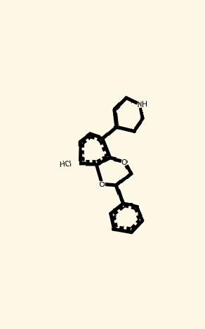 Cl.c1ccc(C2COc3c(cccc3C3CCNCC3)O2)cc1